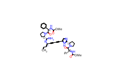 C=C/C=C(C#CC#Cc1cnc([C@@H]2CCCN2C(=O)[C@@H](NC(=O)OC)C(C)C)[nH]1)\N=C(/N)[C@@H]1CCCN1C(=O)[C@H](NC(=O)OC)c1ccccc1